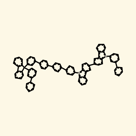 c1ccc(-c2cccc(-n3c4ccccc4c4cc(-c5ccc6c(c5)c5ccccc5n6-c5ccc(-c6ccc(-c7ccc(-c8cccc(C9(c%10cccc(-c%11ccccc%11)c%10)c%10ccccc%10-c%10ccccc%109)c8)cc7)cc6)cc5)ccc43)c2)cc1